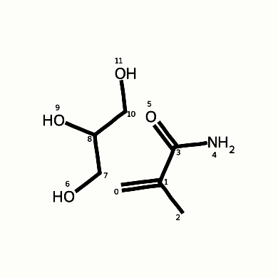 C=C(C)C(N)=O.OCC(O)CO